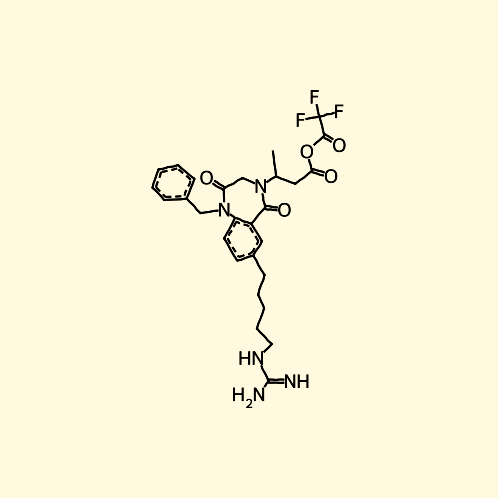 CC(CC(=O)OC(=O)C(F)(F)F)N1CC(=O)N(Cc2ccccc2)c2ccc(CCCCCNC(=N)N)cc2C1=O